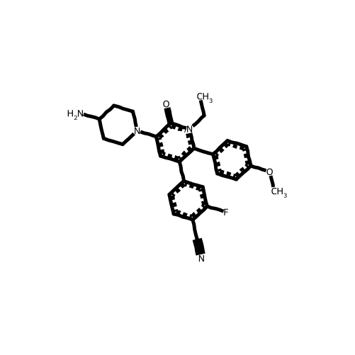 CCn1c(-c2ccc(OC)cc2)c(-c2ccc(C#N)c(F)c2)cc(N2CCC(N)CC2)c1=O